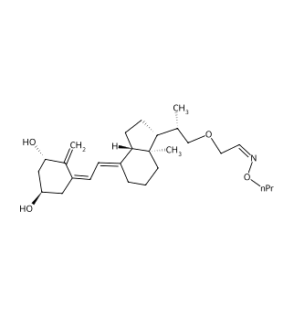 C=C1/C(=C\C=C2/CCC[C@]3(C)[C@@H]([C@H](C)COC/C=N\OCCC)CC[C@@H]23)C[C@@H](O)C[C@@H]1O